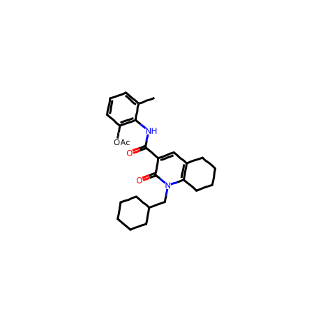 CC(=O)Oc1cccc(C)c1NC(=O)c1cc2c(n(CC3CCCCC3)c1=O)CCCC2